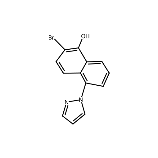 Oc1c(Br)ccc2c(-n3cccn3)cccc12